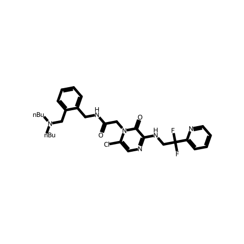 CCCCN(CCCC)Cc1ccccc1CNC(=O)Cn1c(Cl)cnc(NCC(F)(F)c2ccccn2)c1=O